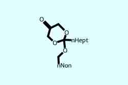 CCCCCCCCCCOC1(CCCCCCC)OCC(=O)CO1